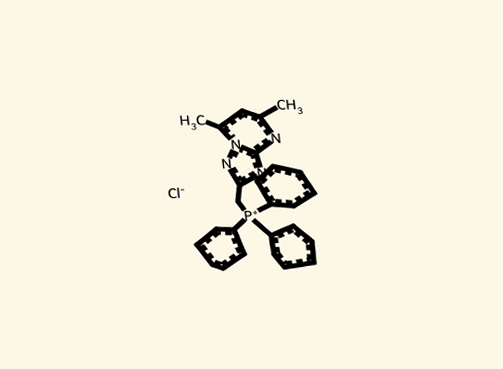 Cc1cc(C)n2nc(C[P+](c3ccccc3)(c3ccccc3)c3ccccc3)nc2n1.[Cl-]